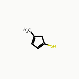 CC1=CC=C(S)C1